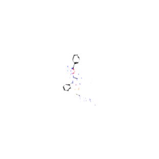 NCC[S+]([O-])c1ccccc1-c1cnc(N)c(-c2nnc(-c3ccccc3)o2)n1